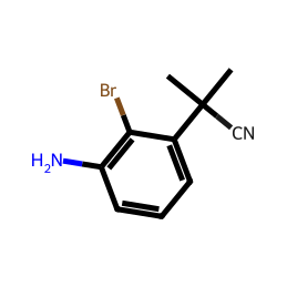 CC(C)(C#N)c1cccc(N)c1Br